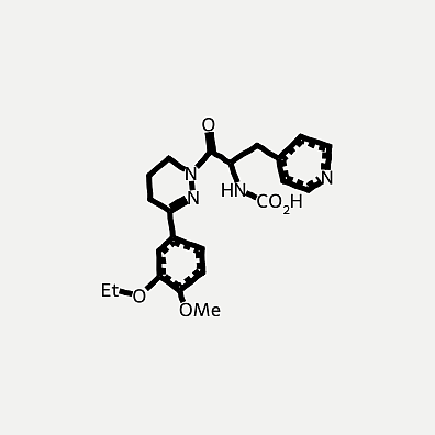 CCOc1cc(C2=NN(C(=O)C(Cc3ccncc3)NC(=O)O)CCC2)ccc1OC